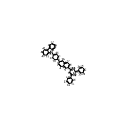 C1=C(c2ccc3cc(-c4cc(-c5ccccc5)nc(-c5ccccc5)n4)ccc3c2)CCC(n2c3ccccc3c3ccccc32)=C1